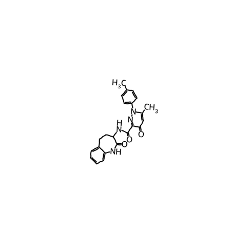 Cc1ccc(-n2nc(C(=O)NC3CCc4ccccc4NC3=O)c(=O)cc2C)cc1